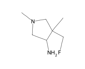 CN1CC(N)C(C)(CF)C1